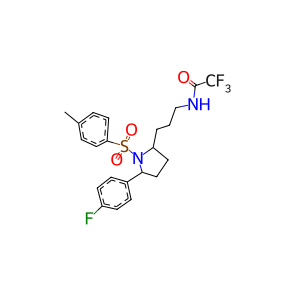 Cc1ccc(S(=O)(=O)N2C(CCCNC(=O)C(F)(F)F)CCC2c2ccc(F)cc2)cc1